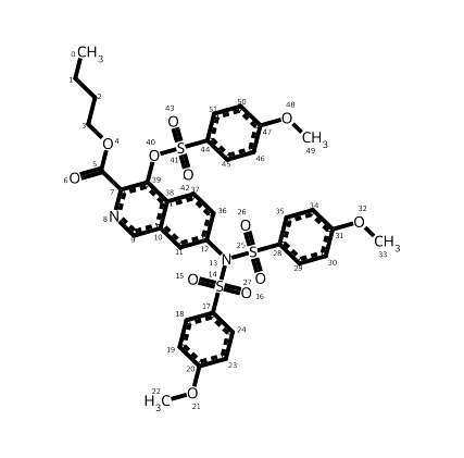 CCCCOC(=O)c1ncc2cc(N(S(=O)(=O)c3ccc(OC)cc3)S(=O)(=O)c3ccc(OC)cc3)ccc2c1OS(=O)(=O)c1ccc(OC)cc1